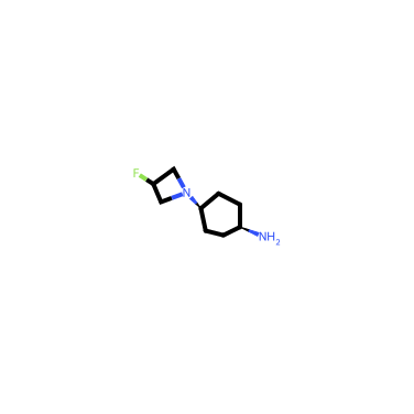 N[C@H]1CC[C@@H](N2CC(F)C2)CC1